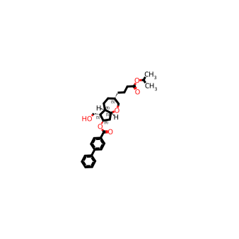 CC(C)OC(=O)CCC[C@H]1CC[C@@H]2[C@@H](CO)[C@H](OC(=O)c3ccc(-c4ccccc4)cc3)C[C@@H]2OC1